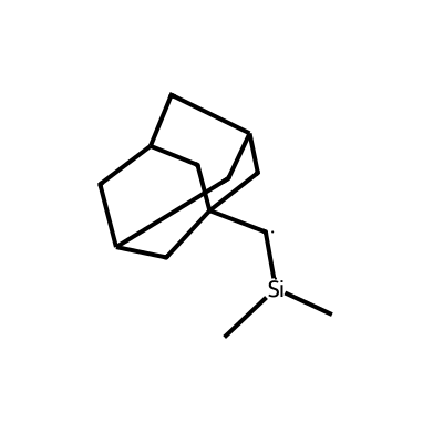 C[Si](C)[CH]C12CC3CC(CC(C3)C1)C2